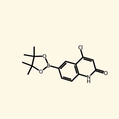 CC1(C)OB(c2ccc3[nH]c(=O)cc(Cl)c3c2)OC1(C)C